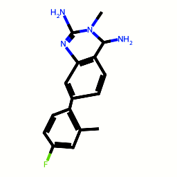 Cc1cc(F)ccc1-c1ccc2c(c1)N=C(N)N(C)C2N